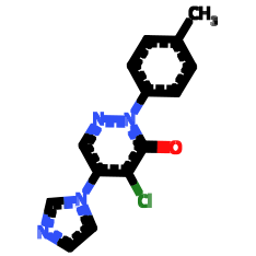 Cc1ccc(-n2ncc(-n3ccnc3)c(Cl)c2=O)cc1